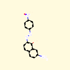 Nc1ccc2ccc(N=Nc3ccc([N+](=O)[O-])cc3)c(O)c2c1